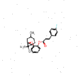 CC1CCC2C(C)(C)C2(Oc2ccccc2OC(=O)CCc2ccc(F)cc2)C1